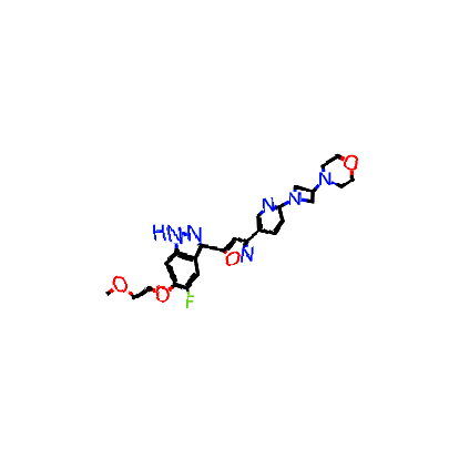 COCCOc1cc2[nH]nc(-c3cc(-c4ccc(N5CC(N6CCOCC6)C5)nc4)no3)c2cc1F